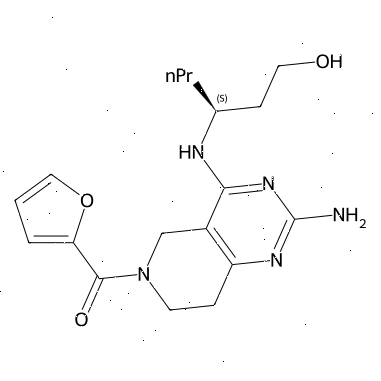 CCC[C@@H](CCO)Nc1nc(N)nc2c1CN(C(=O)c1ccco1)CC2